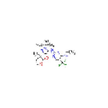 BC(B)(B)n1nc(C2(C)CCOC2=O)cc1Nc1ncc(C(F)(F)F)c(NCC)n1